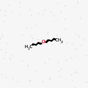 C=CCC=COC=CCC=C